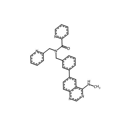 CNc1ncnc2ccc(-c3cccc(CN(Cc4ccccn4)C(=O)c4ccccn4)c3)cc12